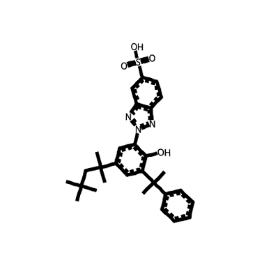 CC(C)(C)CC(C)(C)c1cc(-n2nc3ccc(S(=O)(=O)O)cc3n2)c(O)c(C(C)(C)c2ccccc2)c1